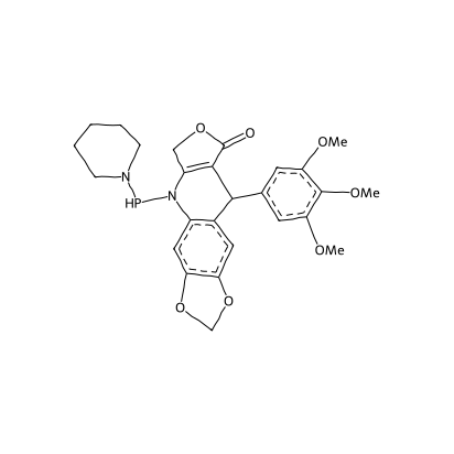 COc1cc(C2C3=C(COC3=O)N(PN3CCCCC3)c3cc4c(cc32)OCO4)cc(OC)c1OC